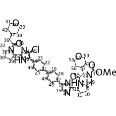 COC(=O)N[C@H](C(=O)N1[C@@H](C)CC[C@H]1c1ncc(-c2ccc(-c3ccc(-c4[nH]c([C@@H]5CC[C@H](C)N5C(=O)CC5CCOCC5)nc4Cl)cc3)cc2)[nH]1)C1CCOCC1